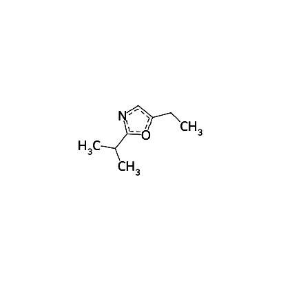 CCc1cnc(C(C)C)o1